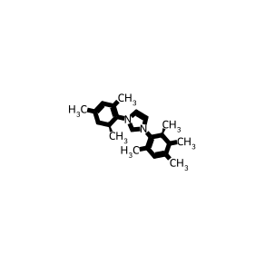 CC1=CC(C)=C(N2C=CN(C3=C(C)C=C(C)C(C)[C@@H]3C)C2)[C@@H](C)C1